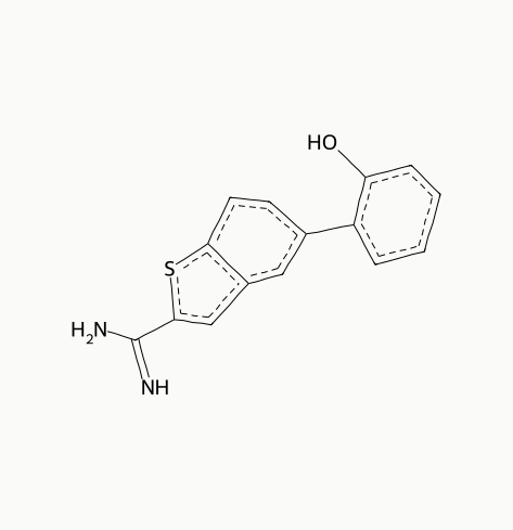 N=C(N)c1cc2cc(-c3ccccc3O)ccc2s1